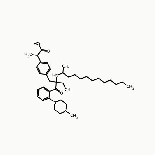 CCCCCCCCCCCC(C)NC(CC)(Cc1ccc(C(C)C(=O)O)cc1)C(=O)c1ccccc1N1CCN(C)CC1